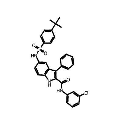 CC(C)(C)c1ccc(S(=O)(=O)Nc2ccc3[nH]c(C(=O)Nc4cccc(Cl)c4)c(-c4ccccc4)c3c2)cc1